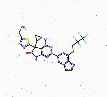 CCc1nnc(C2(C3CC3)C(=O)Nc3nc(-c4cn5ccnc5c(CCC(F)(F)C(F)(F)F)n4)nc(N)c32)s1